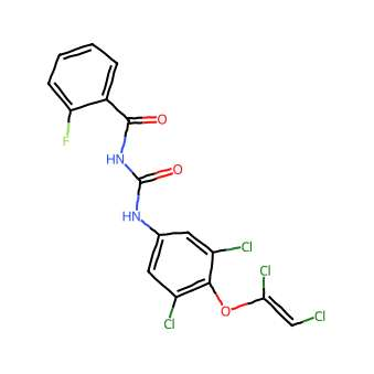 O=C(NC(=O)c1ccccc1F)Nc1cc(Cl)c(OC(Cl)=CCl)c(Cl)c1